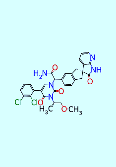 COC[C@@H](C)n1c(=O)c(-c2cccc(Cl)c2Cl)cn(C(C(N)=O)c2ccc3c(c2)C[C@@]2(C3)C(=O)Nc3ncccc32)c1=O